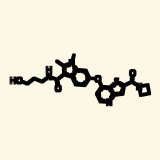 Cc1c(C(=O)NCCCO)c2ccc(Oc3ccnc4cc(C(=O)N5CCC5)sc34)cc2n1C